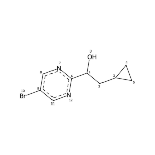 OC(CC1CC1)c1ncc(Br)cn1